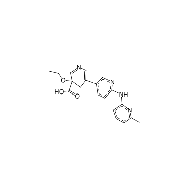 CCOC1(C(=O)O)C=NC=C(c2ccc(Nc3cccc(C)n3)nc2)C1